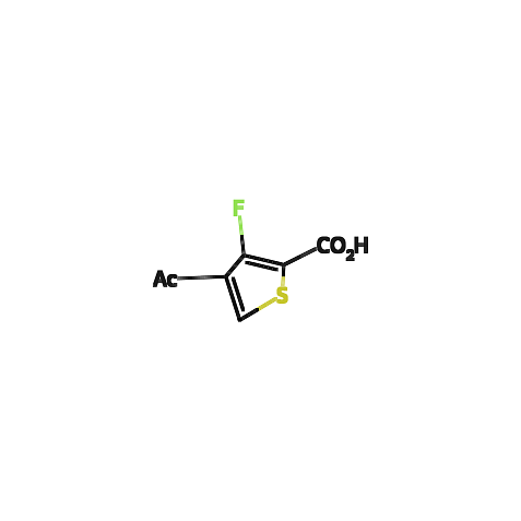 CC(=O)c1csc(C(=O)O)c1F